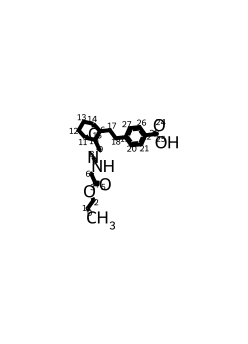 CCCOC(=O)CNN=CC1C2CCC(O2)C1CCc1ccc(C(=O)O)cc1